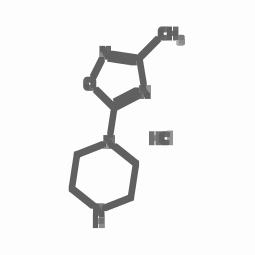 Cc1noc(N2CCNCC2)n1.Cl